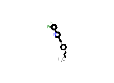 C=CCC[C@H]1CC[C@H](C#Cc2ccc(-c3ccc(F)c(F)c3)nc2)CC1